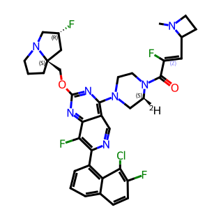 [2H][C@H]1CN(c2nc(OC[C@@]34CCCN3C[C@H](F)C4)nc3c(F)c(-c4cccc5ccc(F)c(Cl)c45)ncc23)CCN1C(=O)/C(F)=C/C1CCN1C